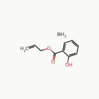 C=CCOC(=O)c1ccccc1O.[BiH3]